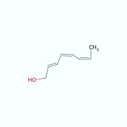 C\C=C/C=C\C=C\CO